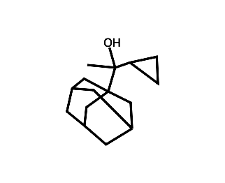 CC(O)(C1CC1)C12CC3CC(CC(C3)C1)C2